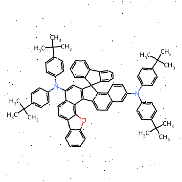 CC(C)(C)c1ccc(N(c2ccc(C(C)(C)C)cc2)c2ccc3c4c(ccc3c2)-c2c(cc(N(c3ccc(C(C)(C)C)cc3)c3ccc(C(C)(C)C)cc3)c3ccc5c6ccccc6oc5c23)C42c3ccccc3-c3ccccc32)cc1